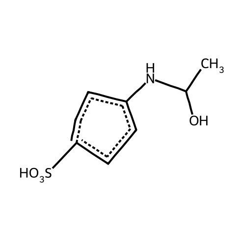 CC(O)Nc1ccc(S(=O)(=O)O)cc1